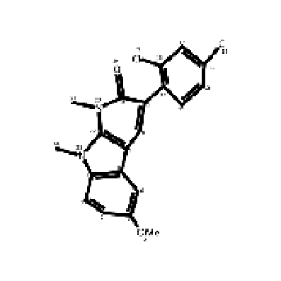 COc1ccc2c(c1)c1cc(-c3ccc(Cl)cc3Cl)c(=O)n(C)c1n2C